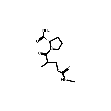 CNC(=S)SCC(C)C(=O)N1CCC[C@H]1C(N)=O